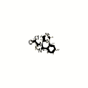 O=C(Cl)c1nnc2c3ccccc3n3cncc3n12